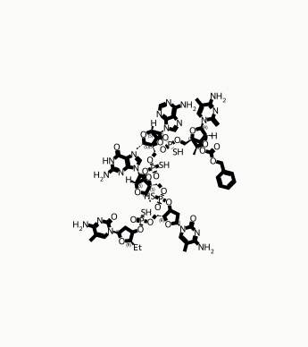 C=C1N=C(N)C(C)=CN1[C@@H]1O[C@]2(COP(=O)(S)OC3[C@@H]4O[C@@H](C)[C@]3(COP(=O)(S)OC3[C@@H]5O[C@@H](C)[C@]3(COP(=O)(S)OC3C[C@H](n6cc(C)c(N)nc6=O)O[C@@H]3COP(=O)(S)OC3C[C@H](n6cc(C)c(N)nc6=O)O[C@@H]3CC)O[C@H]5n3cnc5c(=O)[nH]c(N)nc53)O[C@H]4n3cnc4c(N)ncnc43)C(OC(=O)OCc3ccccc3)[C@@H]1O[C@H]2C